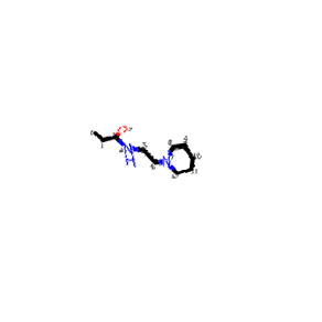 CCC(=O)NCCN1CCCCC1